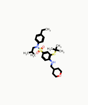 CCc1ccc(N(CC(C)C)S(=O)(=O)c2ccc(NCC3CCOCC3)c(SC(C)(C)C)c2)cc1